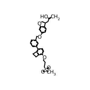 C=C(O)CC1COc2cc(OCc3cccc(-c4ccc(OCCCS(C)(=O)=O)c5c4CC5)c3)ccc21